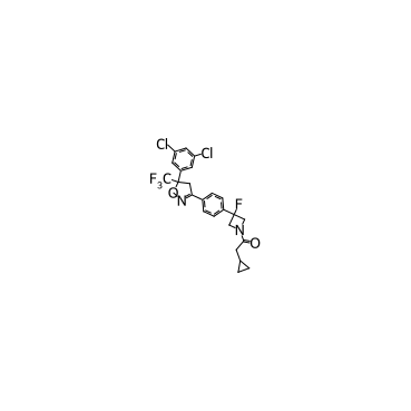 O=C(CC1CC1)N1CC(F)(c2ccc(C3=NOC(c4cc(Cl)cc(Cl)c4)(C(F)(F)F)C3)cc2)C1